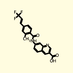 Cc1cc(/C=C/C(F)(F)F)ccc1C(=O)Nc1ccc2cc(C(=O)O)cnc2c1